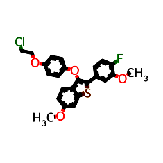 COc1ccc2c(Oc3ccc(OCCCl)cc3)c(-c3ccc(F)c(OC)c3)sc2c1